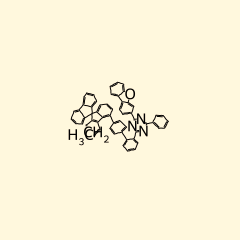 C=CC1=C(/C=C\C)c2c(-c3ccc(-c4ccccc4-c4nc(-c5ccccc5)nc(-c5ccc6c(c5)oc5ccccc56)n4)cc3)cccc2C12c1ccccc1-c1ccccc12